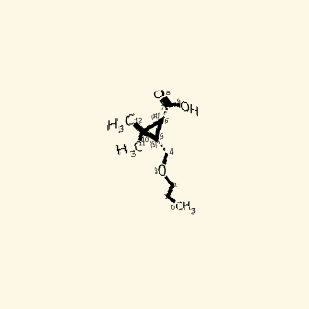 CCCOC[C@H]1[C@@H](C(=O)O)C1(C)C